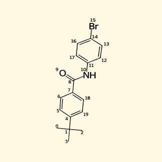 CC(C)(C)c1ccc(C(=O)Nc2ccc(Br)cc2)cc1